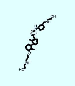 Cc1c(OCCCNCCO)cccc1-c1cccc(-c2nnc(Nc3cccc(CNCCO)c3)o2)c1C